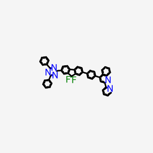 FC1(F)c2cc(-c3ccc(-c4cc(-c5ccccn5)nc5ccccc45)cc3)ccc2-c2ccc(-c3nc(-c4ccccc4)nc(-c4ccccc4)n3)cc21